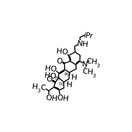 CC(C)CNCC1CC(N(C)C)=C2C[C@H]3C[C@H]4CC(O)=C(C(C)O)C(=O)[C@@]4(O)C(O)=C3C(=O)C2=C1O